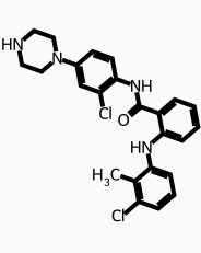 Cc1c(Cl)cccc1Nc1ccccc1C(=O)Nc1ccc(N2CCNCC2)cc1Cl